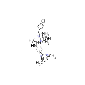 C=C/C=C(\C=C(\C)N)N1CCC(NC(=C)/N=C(\C=C(/N)Cc2ccc(Cl)cc2)C(C)(C)O)CC1